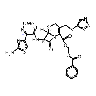 CO/N=C(\C(=O)N[C@@H]1C(=O)N2C(C(=O)OCOC(=O)c3ccccc3)=C(CSc3cnns3)CS[C@@H]12)c1csc(N)n1